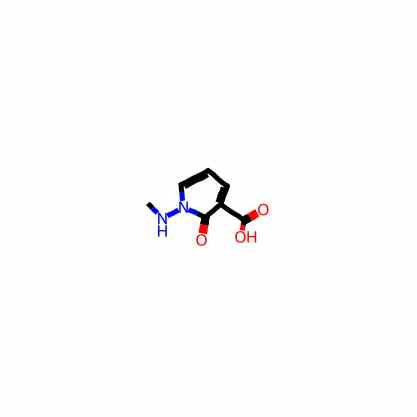 CNn1cccc(C(=O)O)c1=O